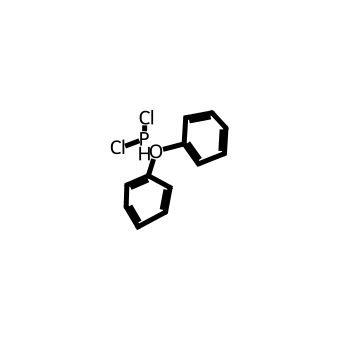 ClPCl.c1ccc(Oc2ccccc2)cc1